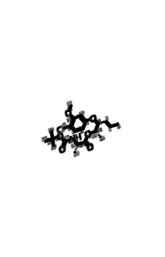 CCC[C@@H](Oc1ccc(Cl)c(OC)c1)[C@H](C)OC(=O)[C@H](C)NC(=O)OC(C)(C)C